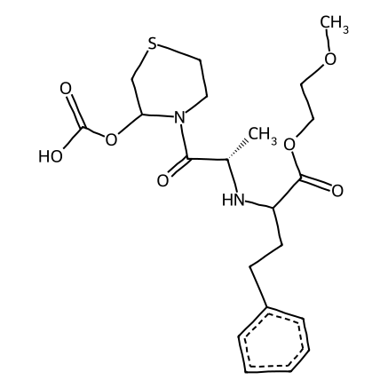 COCCOC(=O)C(CCc1ccccc1)N[C@@H](C)C(=O)N1CCSCC1OC(=O)O